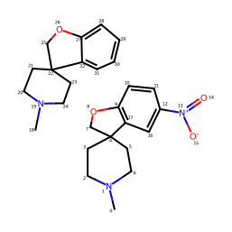 CN1CCC2(CC1)COc1ccc([N+](=O)[O-])cc12.CN1CCC2(CC1)COc1ccccc12